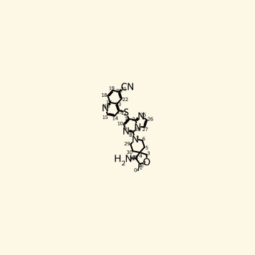 C[C@@H]1OCC2(CCN(c3ncc(Sc4ccnc5ccc(C#N)cc45)c4nccn34)CC2)[C@@H]1N